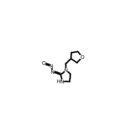 O=NN=C1NCCN1CC1CCOC1